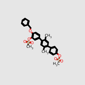 Cc1cc(-c2ccc(OCc3ccccc3)c(OS(C)(=O)=O)c2)c(C)cc1-c1ccc(OS(C)(=O)=O)cc1